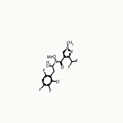 CON(C(=O)c1cn(C)nc1C(F)F)C(C)Cc1c(F)cc(F)c(F)c1Cl